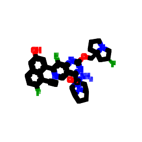 C#Cc1c(F)ccc2cc(O)cc(-c3ncc4c(N5CC6CCC(C5)N6C(N)=O)nc(OC[C@@]56CCCN5C[C@H](F)C6)nc4c3F)c12